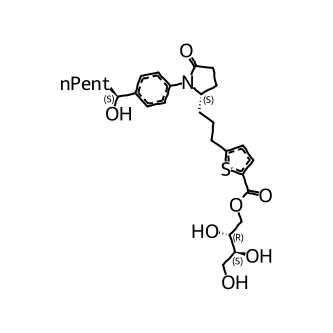 CCCCC[C@H](O)c1ccc(N2C(=O)CC[C@@H]2CCCc2ccc(C(=O)OC[C@@H](O)[C@@H](O)CO)s2)cc1